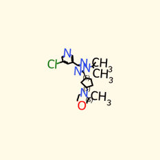 CC(C)n1nc(-c2cncc(Cl)c2)nc1[C@H]1CC[C@H](N2CCOC[C@@H]2C)C1